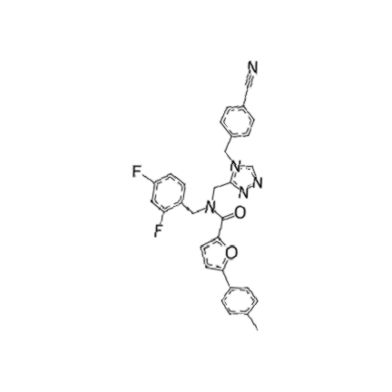 Cc1ccc(-c2ccc(C(=O)N(Cc3ccc(F)cc3F)Cc3nncn3Cc3ccc(C#N)cc3)o2)cc1